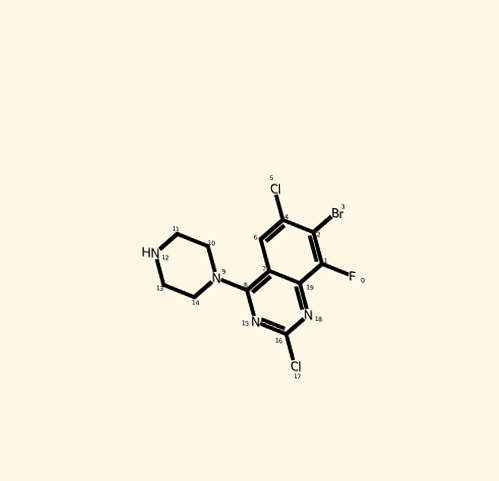 Fc1c(Br)c(Cl)cc2c(N3CCNCC3)nc(Cl)nc12